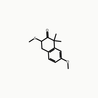 COc1ccc2c(c1)C(C)(C)C(=O)C(SC)C2